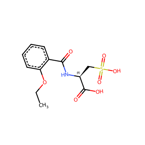 CCOc1ccccc1C(=O)N[C@@H](CS(=O)(=O)O)C(=O)O